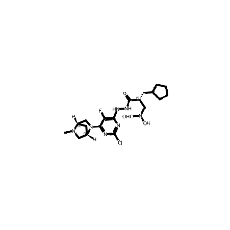 CN1C[C@@H]2C[C@H]1CN2c1nc(Cl)nc(NNC(=O)[C@H](CC2CCCC2)CN(O)C=O)c1F